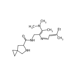 CC/C(C)=C/C=N\C(CNC(=O)C1CC2(CC2)CN1)=C(/C)N(C)C